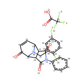 O=C(O)C(F)(F)F.O=C1C=CC2C3C(=O)N(c4ccccc4)C(=O)C3C1N2Cc1cc(F)ccc1F